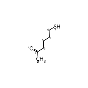 CC(=O)CCCCS